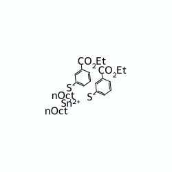 CCCCCCC[CH2][Sn+2][CH2]CCCCCCC.CCOC(=O)c1cccc([S-])c1.CCOC(=O)c1cccc([S-])c1